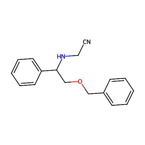 N#CCNC(COCc1ccccc1)c1ccccc1